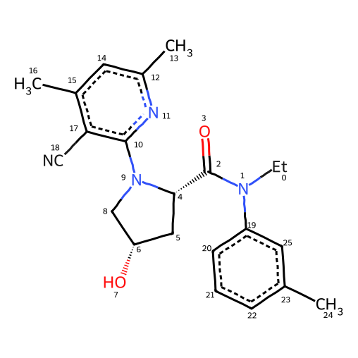 CCN(C(=O)[C@@H]1C[C@H](O)CN1c1nc(C)cc(C)c1C#N)c1cccc(C)c1